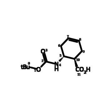 CC(C)(C)OC(=O)N[C@@H]1CC=CC[C@H]1C(=O)O